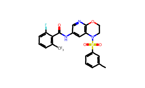 Cc1cccc(S(=O)(=O)N2CCOc3ncc(NC(=O)c4c(F)cccc4C(F)(F)F)cc32)c1